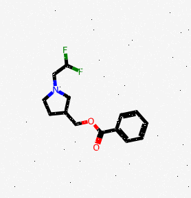 O=C(OCC1CCN(CC(F)F)C1)c1ccccc1